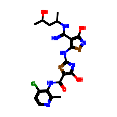 Cc1nccc(Cl)c1NC(=O)c1sc(Nc2snc(O)c2C(=N)NC(C)CC(C)O)nc1O